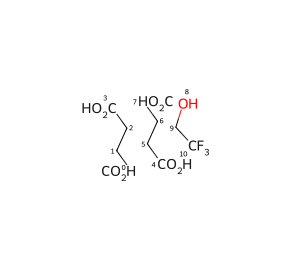 O=C(O)CCC(=O)O.O=C(O)CCC(=O)O.OCC(F)(F)F